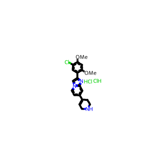 COc1cc(OC)c(-c2cn3ccc(C4=CCNCC4)cc3n2)cc1Cl.Cl.Cl